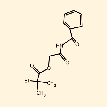 CCC(C)(C)C(=O)OCC(=O)NC(=O)c1ccccc1